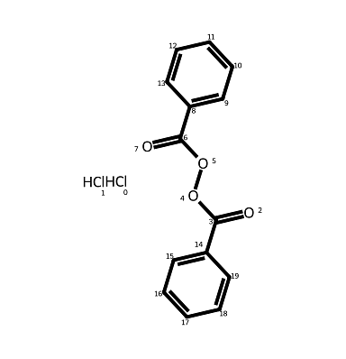 Cl.Cl.O=C(OOC(=O)c1ccccc1)c1ccccc1